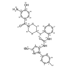 Cc1ccc(-n2nc(C(C)(C)C)cc2NC(=O)Nc2ccccc2CC2CCN(C(=O)c3ccc(O)c(N)c3)CC2)cc1